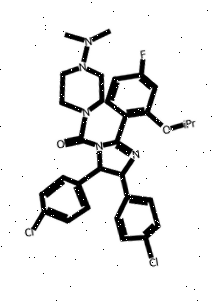 CC(C)Oc1cc(F)ccc1C1=NC(c2ccc(Cl)cc2)C(c2ccc(Cl)cc2)N1C(=O)N1CCN(N(C)C)CC1